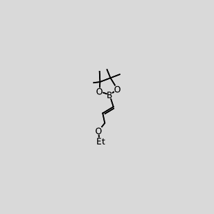 CCOC/C=C/B1OC(C)(C)C(C)(C)O1